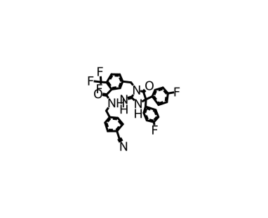 N#Cc1ccc(CNC(=O)c2cc(CN3C(=N)NC(c4ccc(F)cc4)(c4ccc(F)cc4)C3=O)ccc2C(F)(F)F)cc1